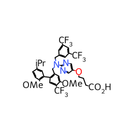 COc1ccc(C(C)C)cc1-c1cc(C(F)(F)F)c(OC)cc1CN(Cc1cc(C(F)(F)F)cc(C(F)(F)F)c1)c1ncc(OCCCC(=O)O)cn1